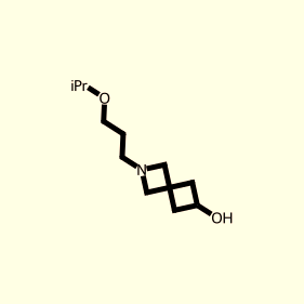 CC(C)OCCCN1CC2(CC(O)C2)C1